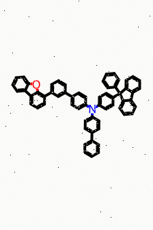 c1ccc(-c2ccc(N(c3ccc(-c4cccc(-c5cccc6c5oc5ccccc56)c4)cc3)c3ccc(C4(c5ccccc5)c5ccccc5-c5ccccc54)cc3)cc2)cc1